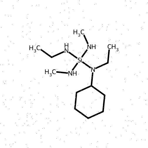 CCN[Si](NC)(NC)N(CC)C1CCCCC1